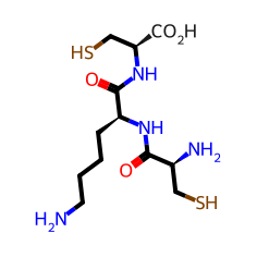 NCCCC[C@H](NC(=O)[C@@H](N)CS)C(=O)N[C@@H](CS)C(=O)O